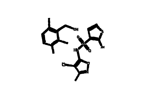 CC(=O)c1sccc1S(=O)(=O)Nc1onc(C)c1Cl.Cc1ccc(C)c(CO)c1C